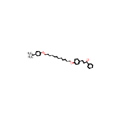 C=C(C)c1ccc(OCCCCCCCCCCCCOc2ccc(/C=C/C(=O)c3ccccc3)cc2)cc1